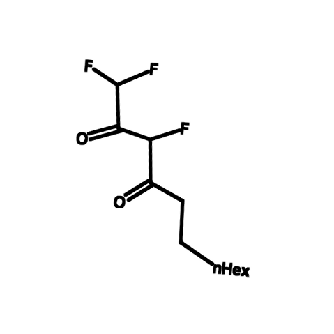 CCCCCCCCC(=O)C(F)C(=O)C(F)F